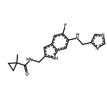 CC1(C(=O)NCc2cc3cc(F)c(NCc4cscn4)cc3[nH]2)CC1